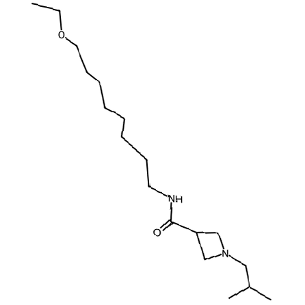 CCOCCCCCCCCNC(=O)C1CN(CC(C)C)C1